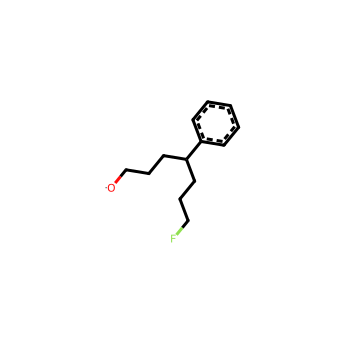 [O]CCCC(CCCF)c1ccccc1